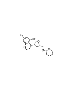 Clc1cc(Br)c2c(c1)OCCN2C1COC(COC2CCCCO2)C1